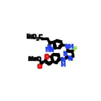 CCOC(=O)CCc1n[nH]c2cc(Nc3nc(Nc4ccc5oc(C(=O)OC)cc5c4)ncc3F)ccc12